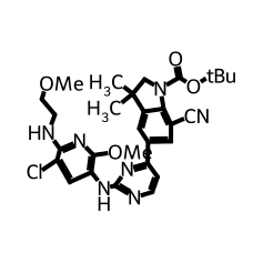 COCCNc1nc(OC)c(Nc2nccc(-c3cc(C#N)c4c(c3)C(C)(C)CN4C(=O)OC(C)(C)C)n2)cc1Cl